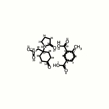 Cc1ccc(C(=O)O)cc1C(=O)O.O=C1CCC(C[N+](=O)[O-])(N2CCCC2=O)CC1